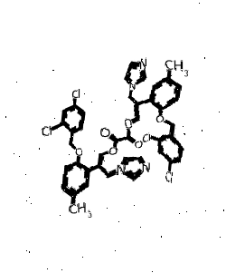 Cc1ccc(OCc2ccc(Cl)cc2Cl)c(C(=COC(=O)C(=O)OC=C(Cn2ccnc2)c2cc(C)ccc2OCc2ccc(Cl)cc2Cl)Cn2ccnc2)c1